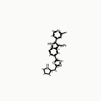 Cc1cc(-c2[nH]c3ccc(-c4nnc(CC5CCCN5)o4)cc3c2C(C)C)ccn1